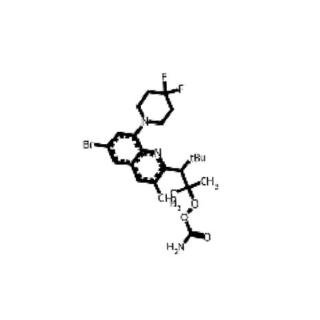 Cc1cc2cc(Br)cc(N3CCC(F)(F)CC3)c2nc1C(C(C)(C)C)C(C)(C)OOC(N)=O